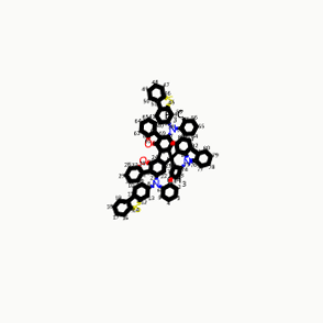 Cc1ccccc1N(c1ccc2c(c1)sc1ccccc12)c1cc2c(c3oc4ccccc4c13)-c1c(cc(N(c3ccc4c(c3)sc3ccccc34)c3ccccc3C)c3c1oc1ccccc13)C21c2ccccc2-n2c3ccccc3c3cccc1c32